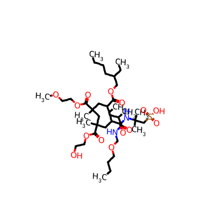 CCCCOCNC(=O)C(C)CC(CC(C)(CC(C)(CC(CC)C(=O)NC(C)(C)CS(=O)(=O)O)C(=O)OCCO)C(=O)OCCOC)C(=O)OCC(CC)CCCC